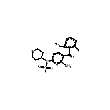 COc1cccc(F)c1C(=O)c1cnc(N(C2CCNCC2)S(C)(=O)=O)nc1N